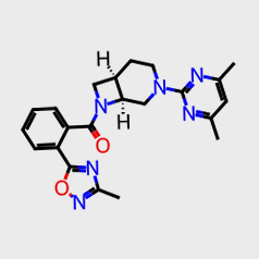 Cc1cc(C)nc(N2CC[C@@H]3CN(C(=O)c4ccccc4-c4nc(C)no4)[C@@H]3C2)n1